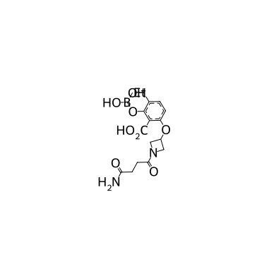 CCc1ccc(OC2CN(C(=O)CCC(N)=O)C2)c(C(=O)O)c1OB(O)O